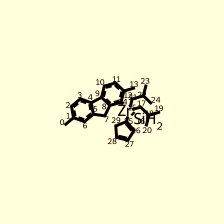 Cc1ccc2c(c1)Cc1c-2ccc(C)[c]1[Zr](=[SiH2])([CH2]C(C)C)([CH2]C(C)C)[C]1=CC=CC1